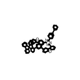 c1ccc(-c2ccc(-c3nc(-c4ccc5c(c4)oc4ccccc45)nc(-c4cccc5oc6ccc(-c7cccc(-c8cccc9c8-c8ccccc8C98c9ccccc9-c9ccccc98)c7)cc6c45)n3)cc2)cc1